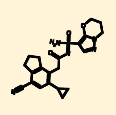 N#Cc1cc(C2CC2)c(CC(=O)N=S(N)(=O)c2cnn3c2OCCC3)c2c1CCC2